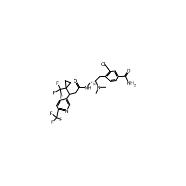 CN(C)[C@H](CNC(=O)CC(c1ccc(C(F)(F)F)nc1)C1(C(F)(F)F)CC1)Cc1ccc(C(N)=O)cc1Cl